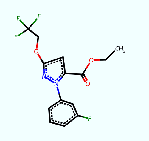 CCOC(=O)c1cc(OCC(F)(F)F)nn1-c1cccc(F)c1